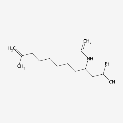 C=CNC(CCCCCCC(=C)C)CC(C#N)CC